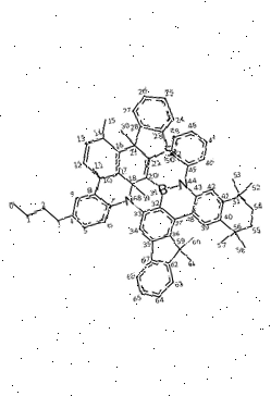 CCCCc1ccc2c(c1)C1(C)C=CC(C)C3=C1C1(C)C(=C4Sc5ccccc5C43C)B3c4c(cc5c(c4-c4cc6c(cc4N3c3ccccc3)C(C)(C)CCC6(C)C)C(C)(C)c3ccccc3-5)N21